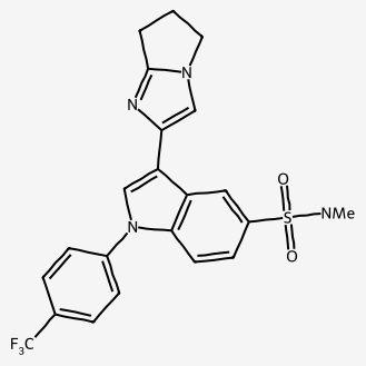 CNS(=O)(=O)c1ccc2c(c1)c(-c1cn3c(n1)CCC3)cn2-c1ccc(C(F)(F)F)cc1